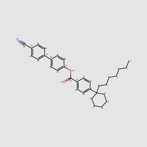 CCCCCCCC1(c2ccc(C(=O)Oc3ccc(-c4ccc(C#N)cc4)cc3)cc2)CCCCC1